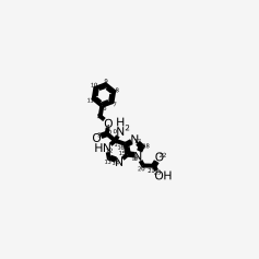 NC1(C(=O)OCc2ccccc2)NC=Nc2c1ncn2CC(=O)O